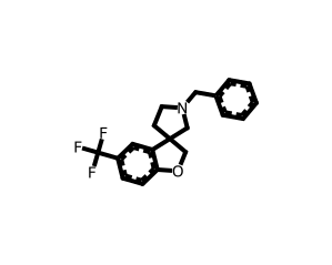 FC(F)(F)c1ccc2c(c1)C1(CCN(Cc3ccccc3)C1)CO2